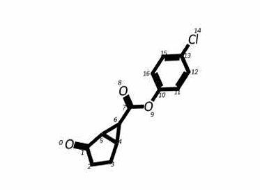 O=C1CCC2C1C2C(=O)Oc1ccc(Cl)cc1